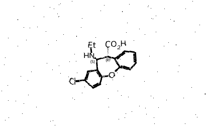 CCN[C@@H]1c2cc(Cl)ccc2Oc2ccccc2[C@H]1C(=O)O